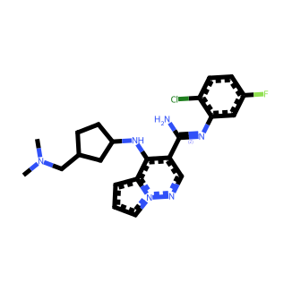 CN(C)CC1CCC(Nc2c(/C(N)=N/c3cc(F)ccc3Cl)cnn3cccc23)C1